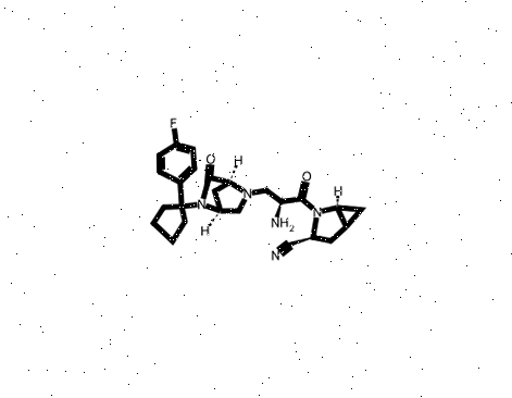 N#C[C@@H]1CC2C[C@@H]2N1C(=O)[C@@H](N)CN1C[C@@H]2C[C@H]1C(=O)N2C1(c2ccc(F)cc2)CCCC1